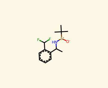 CC(N[S+]([O-])C(C)(C)C)c1ccccc1C(F)F